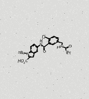 CCCCn1c(C(=O)O)cc2cc(NC(=O)c3cc(CNC(=O)C(C)C)ccc3Cl)ccc21